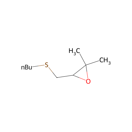 CCCCSCC1OC1(C)C